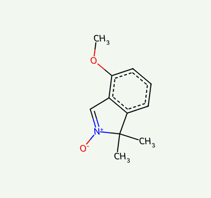 COc1cccc2c1C=[N+]([O-])C2(C)C